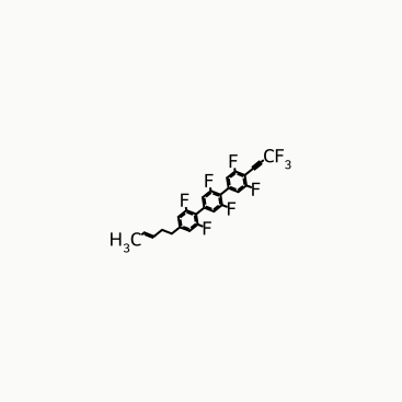 C/C=C/CCc1cc(F)c(-c2cc(F)c(-c3cc(F)c(C#CC(F)(F)F)c(F)c3)c(F)c2)c(F)c1